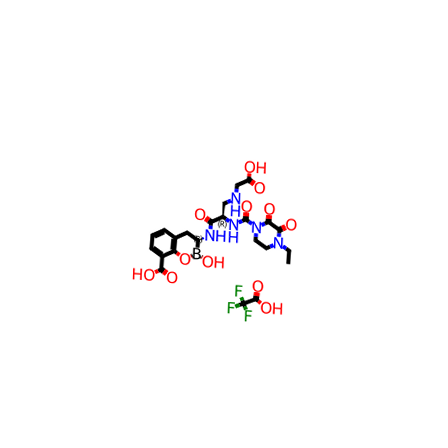 CCN1CCN(C(=O)N[C@H](CNCC(=O)O)C(=O)N[C@H]2Cc3cccc(C(=O)O)c3OB2O)C(=O)C1=O.O=C(O)C(F)(F)F